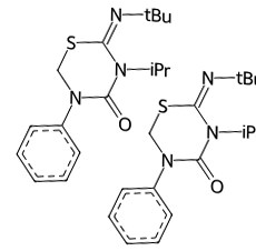 CC(C)N1C(=O)N(c2ccccc2)CSC1=NC(C)(C)C.CC(C)N1C(=O)N(c2ccccc2)CSC1=NC(C)(C)C